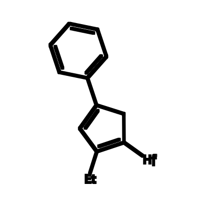 CCC1=[C]([Hf])CC(c2ccccc2)=C1